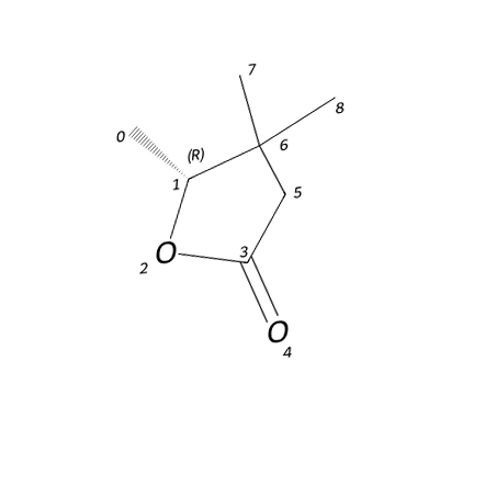 C[C@H]1OC(=O)CC1(C)C